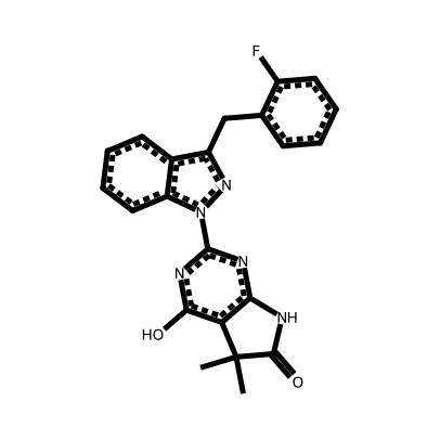 CC1(C)C(=O)Nc2nc(-n3nc(Cc4ccccc4F)c4ccccc43)nc(O)c21